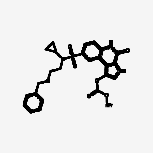 CCCOC(=O)Oc1c[nH]c2c(=O)[nH]c3ccc(S(=O)(=O)N(CCOCc4ccccc4)C4CC4)cc3c12